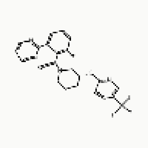 O=C(c1c(F)cccc1-c1ncccn1)N1CCC[C@@H](Oc2ccc(C(F)(F)F)cn2)C1